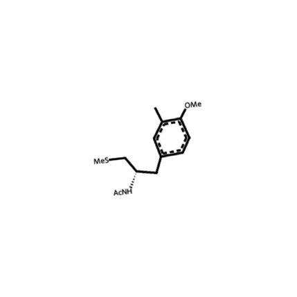 COc1ccc(C[C@@H](CSC)NC(C)=O)cc1C